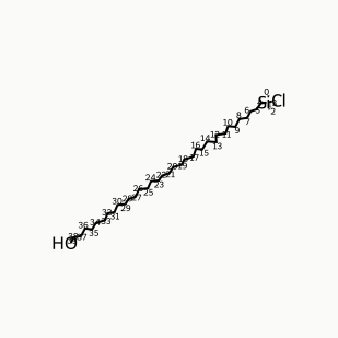 C[Si](C)(Cl)CCCCCCCCCCCCCCCCCCCCCCCCCCCCCCCCCCCO